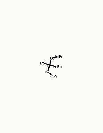 [CH2]CC(CCCC)(OCCC)OCCC